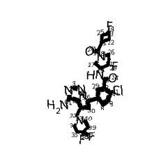 Nc1ncnn2c(-c3ccc(Cl)c(C(=O)N[C@@H]4CN(C(=O)C5CC(F)C5)C[C@@H]4F)c3)cc(CN3CCC(F)(F)CC3)c12